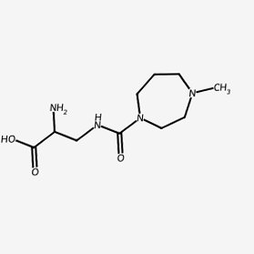 CN1CCCN(C(=O)NCC(N)C(=O)O)CC1